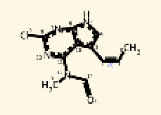 C/C=C\c1c[nH]c2nc(Cl)nc(N(C)C=O)c12